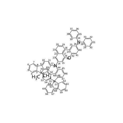 CC1(C)c2ccccc2-c2ccc(N(c3cc4c5c(cccc5c3)-c3cc(N(c5ccccc5)c5ccccc5)ccc3O4)c3cccc4c3-c3ccccc3C4(c3ccccc3)c3ccccc3)cc21